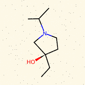 CC[C@@]1(O)CCN(C(C)C)C1